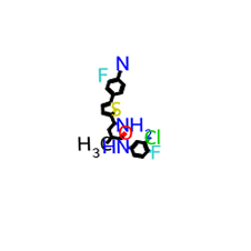 CC(CC(N)c1ccc(-c2ccc(C#N)c(F)c2)s1)C(=O)Nc1ccc(F)c(Cl)c1